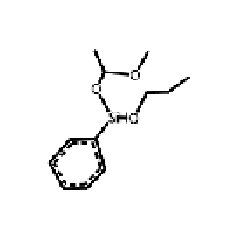 CCCO[SiH](OC(C)OC)c1ccccc1